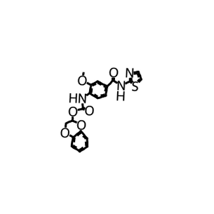 COc1cc(C(=O)Nc2nccs2)ccc1NC(=O)OC1COc2ccccc2O1